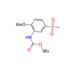 COc1ccc(S(C)(=O)=O)cc1NC(=O)OC(C)(C)C